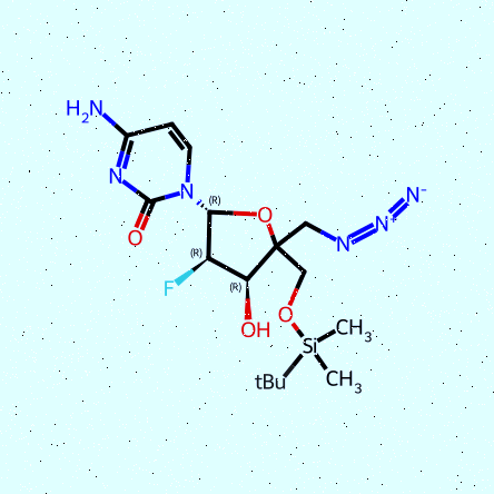 CC(C)(C)[Si](C)(C)OCC1(CN=[N+]=[N-])O[C@@H](n2ccc(N)nc2=O)[C@H](F)[C@@H]1O